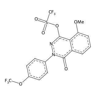 COc1cccc2c(=O)n(-c3ccc(OC(F)(F)F)cc3)nc(OS(=O)(=O)C(F)(F)F)c12